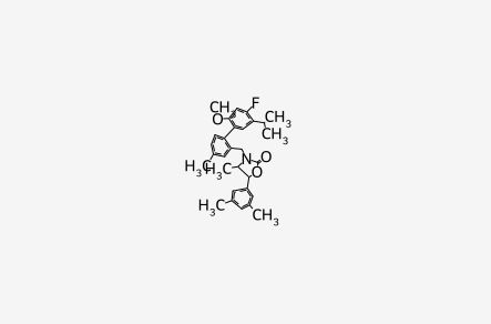 COc1cc(F)c(C(C)C)cc1-c1ccc(C)cc1CN1C(=O)OC(c2cc(C)cc(C)c2)C1C